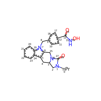 CCCN1CC2Cc3c(n(Cc4ccc(C(=O)NO)cc4)c4ccccc34)CN2C1=O